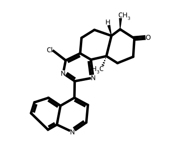 C[C@H]1C(=O)CC[C@@]2(C)c3nc(-c4ccnc5ccccc45)nc(Cl)c3CC[C@H]12